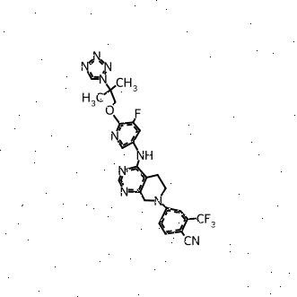 CC(C)(COc1ncc(Nc2ncnc3c2CCN(c2ccc(C#N)c(C(F)(F)F)c2)C3)cc1F)n1cnnn1